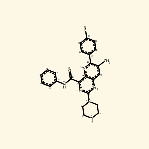 Cc1cc2nc(N3CCNCC3)nc(C(=O)Nc3ccccc3)c2nc1-c1ccc(F)cc1